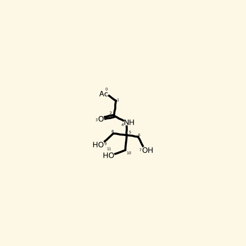 CC(=O)CC(=O)NC(CO)(CO)CO